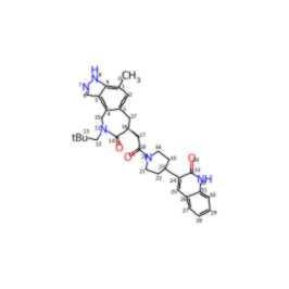 Cc1cc2c(c3cn[nH]c13)CN(CC(C)(C)C)C(=O)[C@H](CC(=O)N1CCC(c3cc4ccccc4[nH]c3=O)CC1)C2